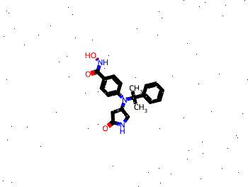 CC(C)(c1ccccc1)N(c1ccc(C(=O)NO)cc1)C1CNC(=O)C1